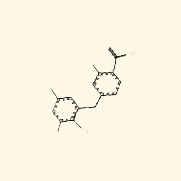 O=C(O)c1ccc(Cc2cc(Cl)cc(Cl)c2O)cc1O